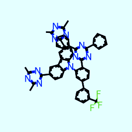 Cc1nc(C)nc(-c2ccc3c(c2)c2cc(-c4nc(C)nc(C)n4)ccc2n3-c2cc(-c3cccc(C(F)(F)F)c3)ccc2-c2nc(-c3ccccc3)nc(-c3ccccc3)n2)n1